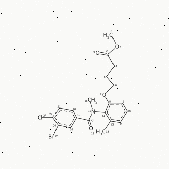 COC(=O)CCCOc1cccc(C)c1N(C)C(=O)c1ccc(Cl)c(Br)c1